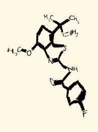 COc1ccc(C(C)(C)C)c2sc(NC(=O)c3ccc(F)cc3)nc12